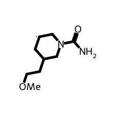 COCCC1C[CH]CN(C(N)=O)C1